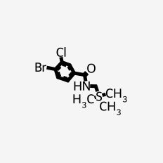 CS(C)(C)CNC(=O)c1ccc(Br)c(Cl)c1